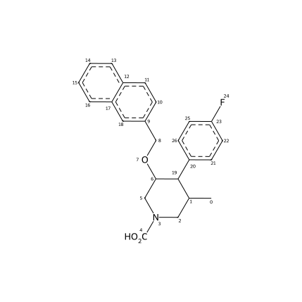 CC1CN(C(=O)O)CC(OCc2ccc3ccccc3c2)C1c1ccc(F)cc1